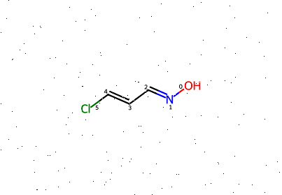 ON=CC=CCl